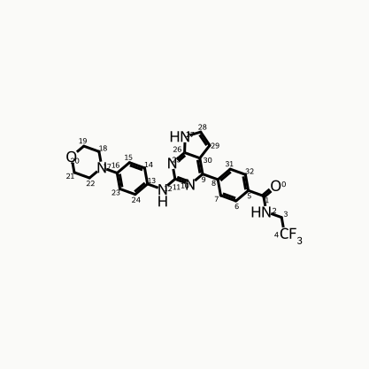 O=C(NCC(F)(F)F)c1ccc(-c2nc(Nc3ccc(N4CCOCC4)cc3)nc3[nH]ccc23)cc1